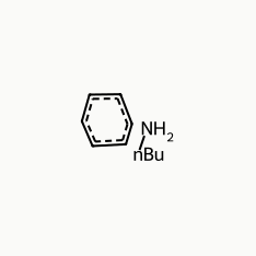 CCCCN.c1ccccc1